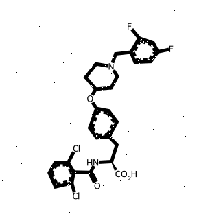 O=C(N[C@@H](Cc1ccc(OC2CCN(Cc3ccc(F)cc3F)CC2)cc1)C(=O)O)c1c(Cl)cccc1Cl